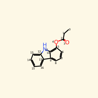 CCC(=O)Oc1cccc2c1[nH]c1ccccc12